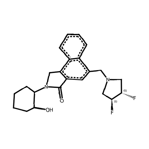 O=C1c2cc(CN3C[C@H](F)[C@@H](F)C3)c3ccccc3c2CN1C1CCCCC1O